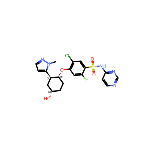 Cn1nccc1[C@@H]1C[C@@H](O)CC[C@H]1Oc1cc(F)c(S(=O)(=O)Nc2ccncn2)cc1Cl